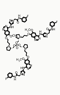 COc1cc2c(Nc3cnn(CC(=O)Nc4cccc(F)c4)c3)ncnc2cc1OCCCN1CCC[C@H]1COP(=O)(OC[C@@H]1CCCN1CCCOc1cc2ncnc(Nc3cnn(CC(=O)Nc4cccc(F)c4)c3)c2cc1OC)OC[C@@H]1CCCN1CCCOc1cc2ncnc(Nc3cnn(CC(=O)Nc4cccc(F)c4)c3)c2cc1OC